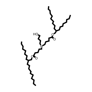 CCCCCCCCCCC(CCCCCCCC)COC(=O)CCCCN(CCCCO)CCCCC(=O)OCC(CCCCCCCC)CCCCCCCCCC